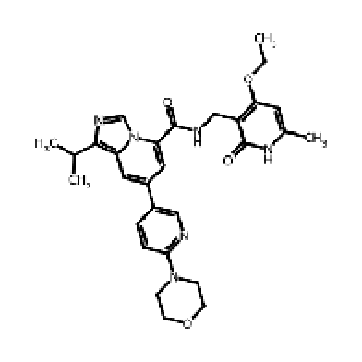 CCOc1cc(C)[nH]c(=O)c1CNC(=O)c1cc(-c2ccc(N3CCOCC3)nc2)cc2c(C(C)C)ncn12